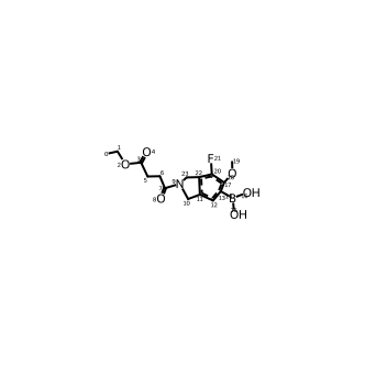 CCOC(=O)CCC(=O)N1Cc2cc(B(O)O)c(OC)c(F)c2C1